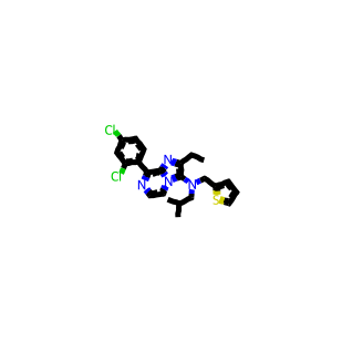 CCc1nc2c(-c3ccc(Cl)cc3Cl)nccn2c1N(Cc1cccs1)CC(C)C